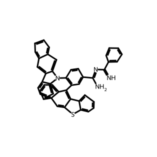 N=C(/N=C(\N)c1ccc(-n2c3ccccc3c3cc4ccccc4cc32)c(-c2c3ccccc3cc3sc4ccccc4c23)c1)c1ccccc1